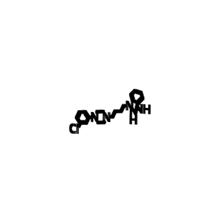 Clc1cccc(N2CCN(CCCCN3NNc4ccccc43)CC2)c1